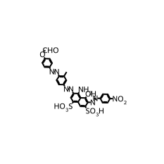 Cc1cc(/N=N/c2cc(S(=O)(=O)O)c3cc(S(=O)(=O)O)c(/N=N/c4ccc([N+](=O)[O-])cc4)c(O)c3c2N)ccc1/N=N/c1ccc(OC=O)cc1